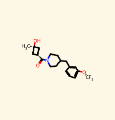 C[C@]1(O)C[C@@H](C(=O)N2CCC(Cc3cccc(OC(F)(F)F)c3)CC2)C1